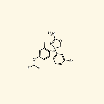 Cc1cc(OC(F)F)ccc1[C@@]1(c2cccc(Br)c2)COC(N)=N1